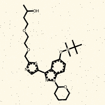 CC(O)CCOCCOCc1ncc(-c2nn(C3CCCCO3)c3ccc(O[Si](C)(C)C(C)(C)C)cc23)s1